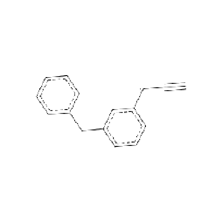 C#C[CH]c1cccc(Cc2ccccc2)c1